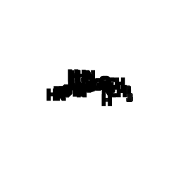 CC(C)NC(=O)COc1ccc(-c2nnc(Nc3ccc4[nH]ncc4c3)[nH]2)cc1CN